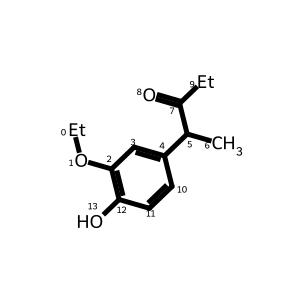 CCOc1cc(C(C)C(=O)CC)ccc1O